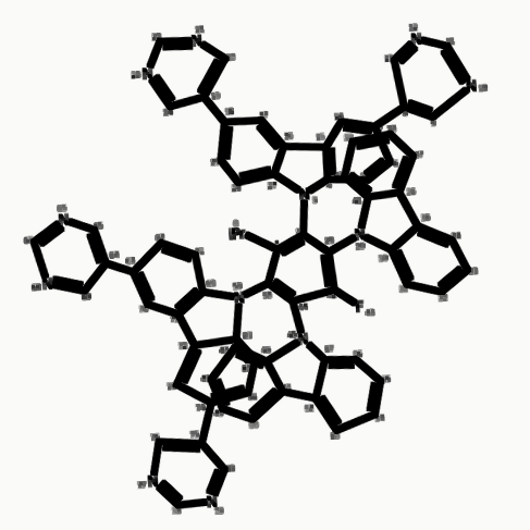 CC(C)c1c(-n2c3ccc(-c4cncnc4)cc3c3cc(-c4cncnc4)ccc32)c(-n2c3ccccc3c3ccccc32)c(F)c(-n2c3ccccc3c3ccccc32)c1-n1c2ccc(-c3cncnc3)cc2c2cc(-c3cncnc3)ccc21